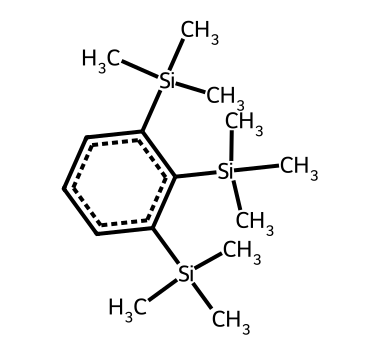 C[Si](C)(C)c1cccc([Si](C)(C)C)c1[Si](C)(C)C